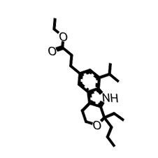 CCCC1(CC)OCCc2c1[nH]c1c(C(C)C)cc(CCC(=O)OCC)cc21